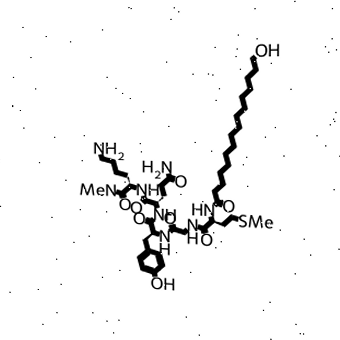 CNC(=O)[C@H](CCCCN)NC(=O)[C@H](CCC(N)=O)NC(=O)[C@H](Cc1ccc(O)cc1)NC(=O)CNC(=O)[C@H](CCSC)NC(=O)CCCCCCCCCCCCCCCO